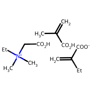 C=C(C)C(=O)O.C=C(CC)C(=O)[O-].CC[N+](C)(C)CC(=O)O